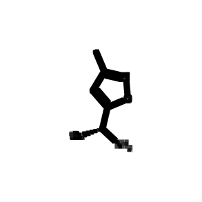 Cc1cc([C@H](N)C(C)(C)C)on1